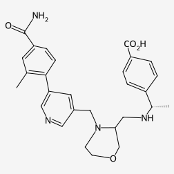 Cc1cc(C(N)=O)ccc1-c1cncc(CN2CCOCC2CN[C@@H](C)c2ccc(C(=O)O)cc2)c1